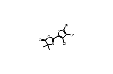 CC1(C)N=C(c2sc(Br)c(Br)c2Cl)OC1=O